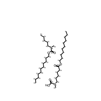 CCCCCCCCCCCOC(=O)CCCCCN(C)C(=O)O.CCCCCCCCCCCOC(=O)N(C)CCCCC